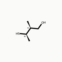 C[C@@H](S)[C@@H](C)CO